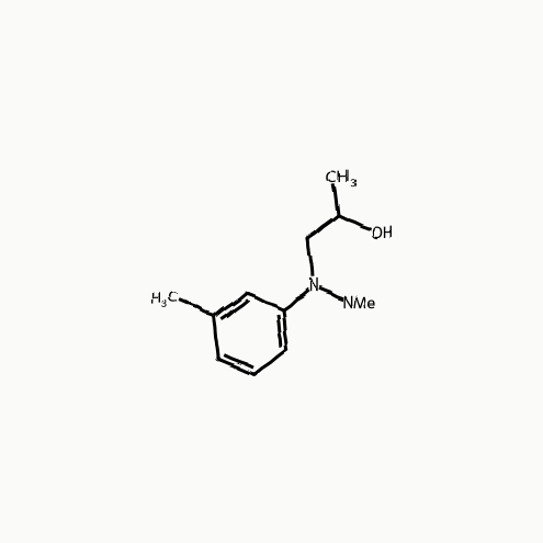 CNN(CC(C)O)c1cccc(C)c1